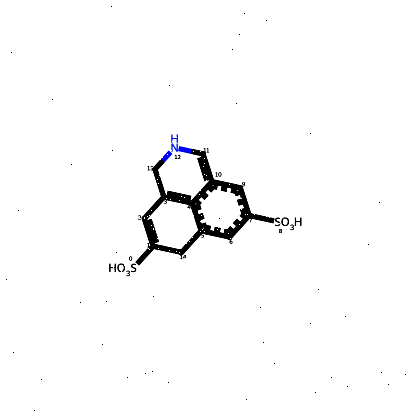 O=S(=O)(O)C1=CC2=c3c(cc(S(=O)(=O)O)cc3=CNC2)C1